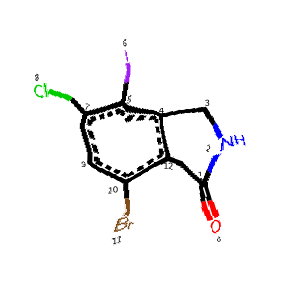 O=C1NCc2c(I)c(Cl)cc(Br)c21